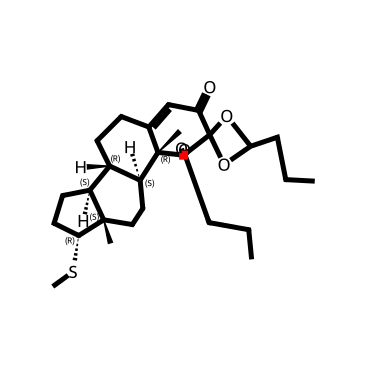 CCCC1OC2(O1)C(=O)C=C1CC[C@H]3[C@@H]4CC[C@@H](SC)[C@@]4(C)CC[C@@H]3[C@@]1(C)C21OC(CCC)O1